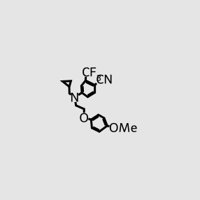 COc1ccc(OCCN(CC2CC2)c2ccc(C#N)c(C(F)(F)F)c2)cc1